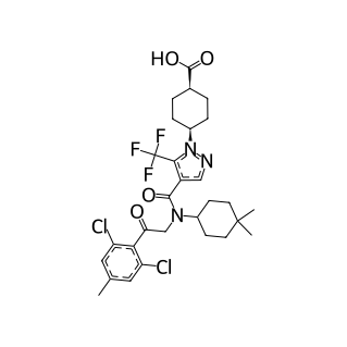 Cc1cc(Cl)c(C(=O)CN(C(=O)c2cnn([C@H]3CC[C@@H](C(=O)O)CC3)c2C(F)(F)F)C2CCC(C)(C)CC2)c(Cl)c1